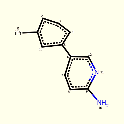 CC(C)c1cccc(-c2ccc(N)nc2)c1